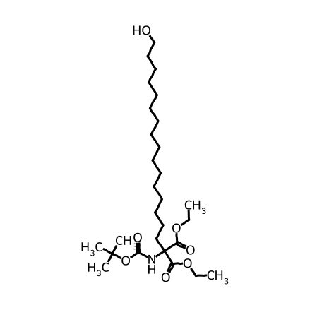 CCOC(=O)C(CCCCCCCCCCCCCCCCO)(NC(=O)OC(C)(C)C)C(=O)OCC